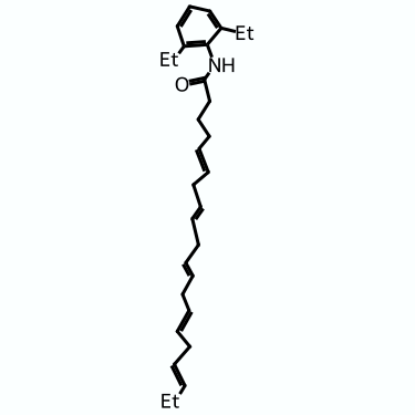 CCC=CCC=CCC=CCC=CCC=CCCCC(=O)Nc1c(CC)cccc1CC